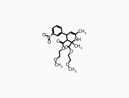 COCCOC(=O)C1C(c2cccc([N+](=O)[O-])c2)C=C(C)NC1(C)C(=O)OCCOC